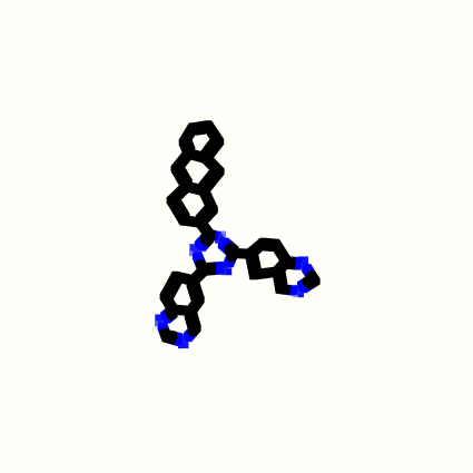 c1ccc2cc3cc(-c4nc(-c5ccc6ncncc6c5)nc(-c5ccc6ncncc6c5)n4)ccc3cc2c1